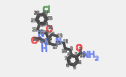 NC(=O)c1ccccc1[CH]CCN1CCC2(CC1)NC(=O)N(Cc1ccc(Cl)cc1)C2=O